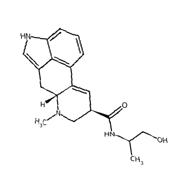 CC(CO)NC(=O)[C@@H]1C=C2c3cccc4[nH]cc(c34)C[C@H]2N(C)C1